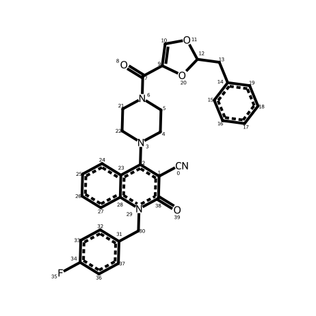 N#Cc1c(N2CCN(C(=O)C3=COC(Cc4ccccc4)O3)CC2)c2ccccc2n(Cc2ccc(F)cc2)c1=O